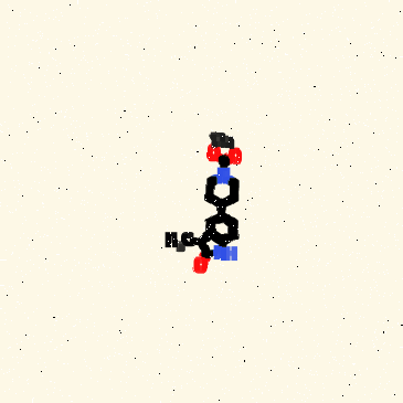 CC1C(=O)Nc2ccc(C3CCN(C(=O)OC(C)(C)C)CC3)cc21